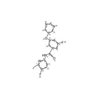 Cc1nc(NC(=O)c2cc(F)cc(Oc3cncnc3)c2)ccc1F